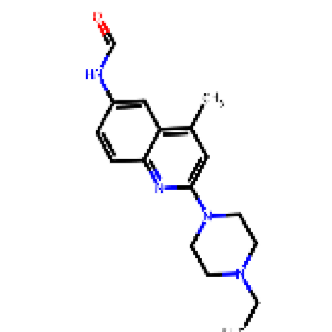 CCN1CCN(c2cc(C)c3cc(NC=O)ccc3n2)CC1